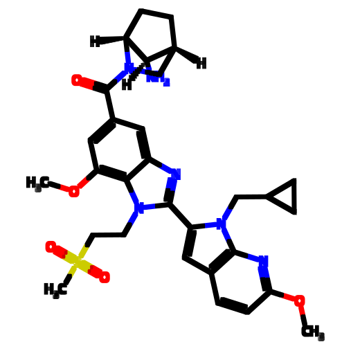 COc1ccc2cc(-c3nc4cc(C(=O)N5C[C@H]6CC[C@@H]5[C@@H]6N)cc(OC)c4n3CCS(C)(=O)=O)n(CC3CC3)c2n1